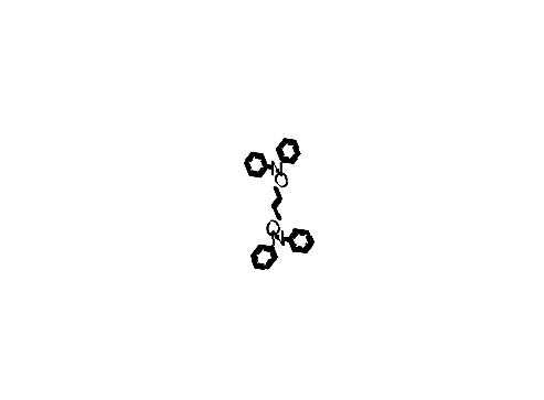 C(=CCON(c1ccccc1)c1ccccc1)CON(c1ccccc1)c1ccccc1